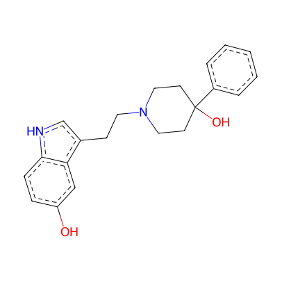 Oc1ccc2[nH]cc(CCN3CCC(O)(c4ccccc4)CC3)c2c1